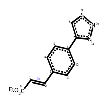 CCOC(=O)/C=C/c1ccc(-c2csnn2)cc1